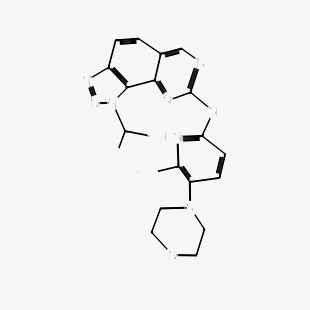 Cc1nc(Nc2ncc3ccc4nnn(C(C)C)c4c3n2)ccc1N1CCNCC1